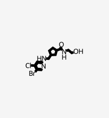 O=C(NCCO)C1CCC(CNc2cc(Cl)c(Br)cn2)C1